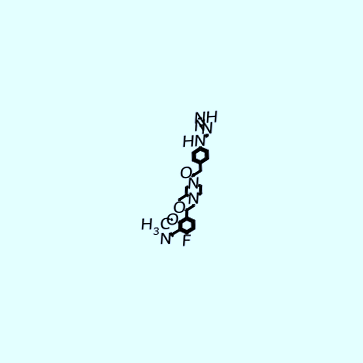 COc1c(C2CN3CCN(C(=O)Cc4ccc(N/C=N\N=N)cc4)CC3CO2)ccc(F)c1C#N